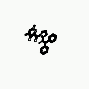 Cc1cn(C)nc(C(=O)N2CCC[C@H]2[C@H](C)C(c2ccccc2)c2ccccc2)c1=O